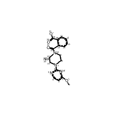 COc1ccnc(N2CCN(C(=O)c3ccccc3C(=O)[O-])CC2)n1.[Na+]